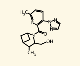 Cc1ccc(-n2nccn2)c(C(=O)N2C3CC(C3)C(C)C2CO)n1